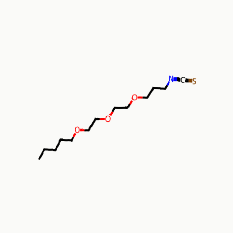 CCCCCOCCOCCOCCCN=C=S